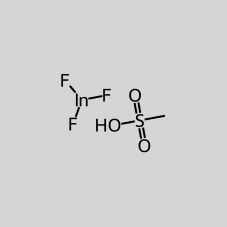 CS(=O)(=O)O.[F][In]([F])[F]